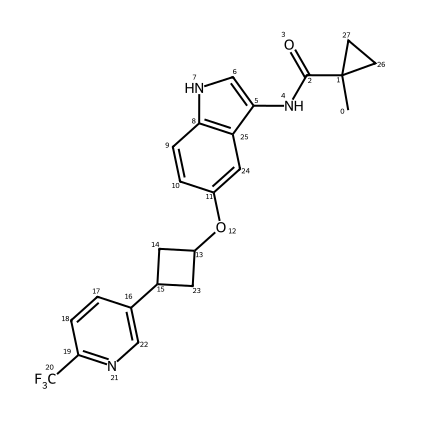 CC1(C(=O)Nc2c[nH]c3ccc(OC4CC(c5ccc(C(F)(F)F)nc5)C4)cc23)CC1